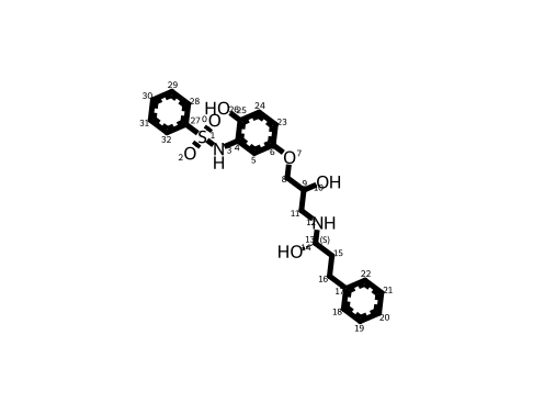 O=S(=O)(Nc1cc(OCC(O)CN[C@@H](O)CCc2ccccc2)ccc1O)c1ccccc1